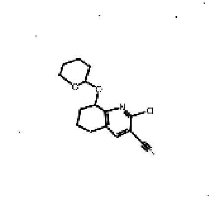 N#Cc1cc2c(nc1Cl)C(OC1CCCCO1)CCC2